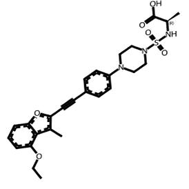 CCOc1cccc2oc(C#Cc3ccc(N4CCN(S(=O)(=O)N[C@H](C)C(=O)O)CC4)cc3)c(C)c12